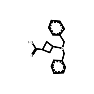 O=C(O)C1CC(N(Cc2ccccc2)Cc2ccccc2)C1